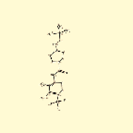 CC1=C(NC(=O)N2CCC(NSC(C)(C)C)CC2)CCC(C(F)(F)F)=C1C